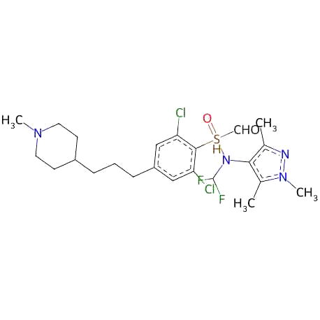 Cc1nn(C)c(C)c1N(C(F)F)[SH](=O)(C=O)c1c(Cl)cc(CCCC2CCN(C)CC2)cc1Cl